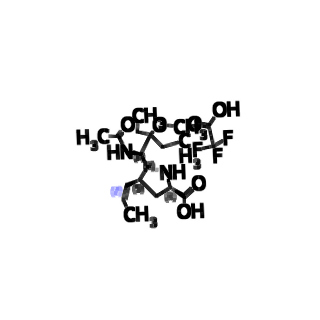 C/C=C\[C@@H]1C[C@H](C(=O)O)N[C@H]1[C@@H](NC(C)=O)C(CC)(CC)OC.O=C(O)C(F)(F)F